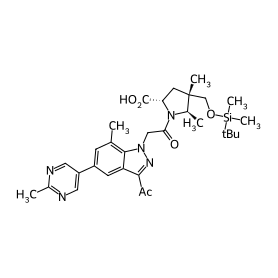 CC(=O)c1nn(CC(=O)N2[C@H](C(=O)O)C[C@](C)(CO[Si](C)(C)C(C)(C)C)[C@H]2C)c2c(C)cc(-c3cnc(C)nc3)cc12